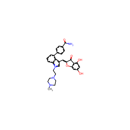 CN1CCN(CCn2cc(C=C3Oc4cc(O)cc(O)c4C3=O)c3c(-c4ccc(C(N)=O)cc4)cccc32)CC1